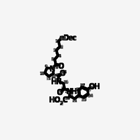 CCCCCCCCCCCCCCCC(=O)N1CCC[C@H]1C(=O)NCC(=O)N[C@@H](Cc1ccc(O)cc1)C(=O)O